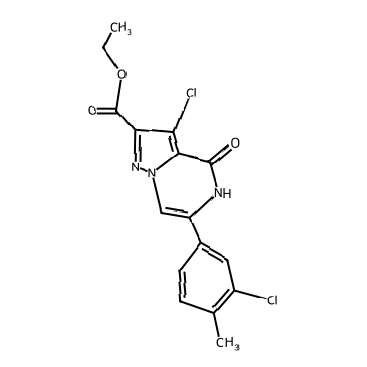 CCOC(=O)c1nn2cc(-c3ccc(C)c(Cl)c3)[nH]c(=O)c2c1Cl